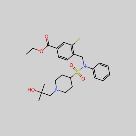 CCOC(=O)c1ccc(CN(c2ccccc2)S(=O)(=O)C2CCN(CC(C)(C)O)CC2)c(F)c1